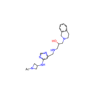 CC(=O)N1CC(Nc2cc(CNCC(O)CN3CCc4ccccc4C3)ncn2)C1